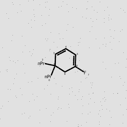 CCCC1(CCC)C=CC=C(F)C1